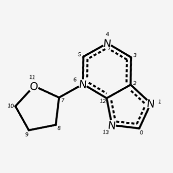 c1nc2cncn(C3CCCO3)c-2n1